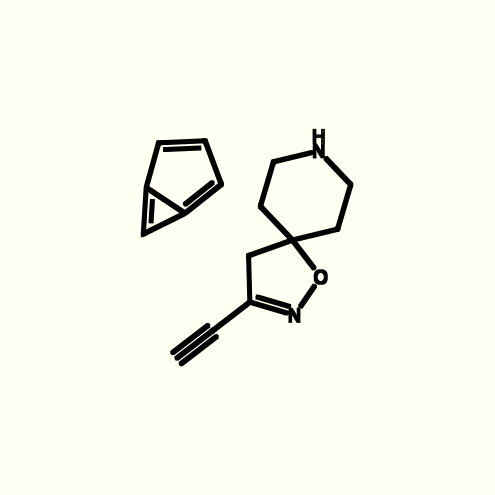 C#CC1=NOC2(CCNCC2)C1.c1cc2cc-2c1